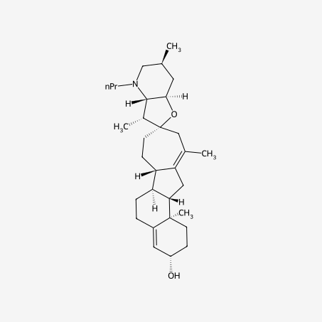 CCCN1C[C@@H](C)C[C@H]2O[C@]3(CC[C@@H]4C(=C(C)C3)C[C@H]3[C@H]4CCC4=C[C@@H](O)CC[C@@]43C)[C@H](C)[C@@H]21